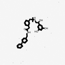 CC(C)(Cc1cccc(CC(=O)NCCc2ccc(-c3ccccc3)cc2)c1)NCC(O)c1cc(O)cc(O)c1